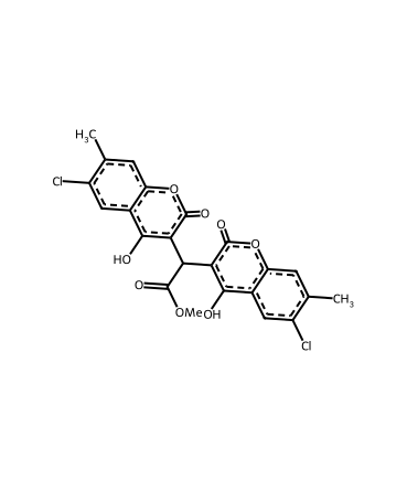 COC(=O)C(c1c(O)c2cc(Cl)c(C)cc2oc1=O)c1c(O)c2cc(Cl)c(C)cc2oc1=O